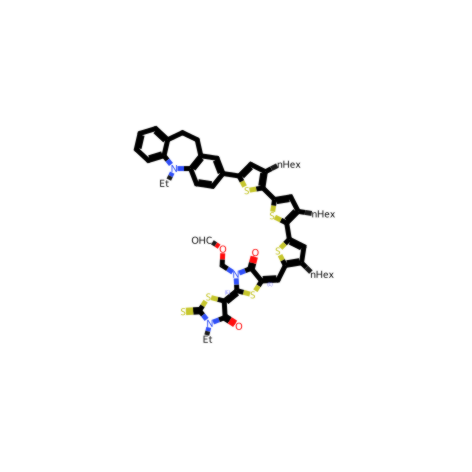 CCCCCCc1cc(-c2sc(-c3sc(-c4ccc5c(c4)CCc4ccccc4N5CC)cc3CCCCCC)cc2CCCCCC)sc1/C=c1/s/c(=C2/SC(=S)N(CC)C2=O)n(COC=O)c1=O